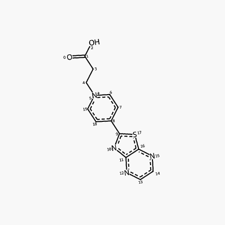 O=C(O)CC[n+]1ccc(-c2nc3nccnc3s2)cc1